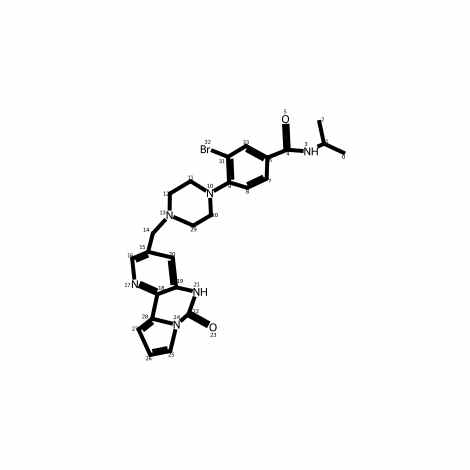 CC(C)NC(=O)c1ccc(N2CCN(Cc3cnc4c(c3)[nH]c(=O)n3cccc43)CC2)c(Br)c1